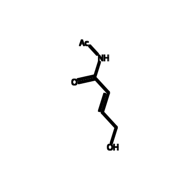 CC(=O)NC(=O)C=CCO